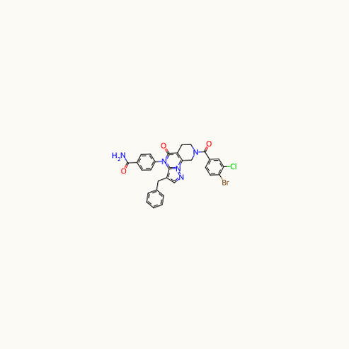 NC(=O)c1ccc(-n2c(=O)c3c(n4ncc(Cc5ccccc5)c24)CN(C(=O)c2ccc(Br)c(Cl)c2)CC3)cc1